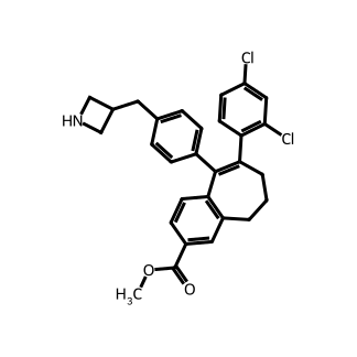 COC(=O)c1ccc2c(c1)CCCC(c1ccc(Cl)cc1Cl)=C2c1ccc(CC2CNC2)cc1